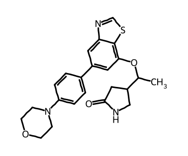 CC(Oc1cc(-c2ccc(N3CCOCC3)cc2)cc2ncsc12)C1CNC(=O)C1